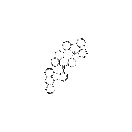 c1ccc(-c2ccccc2-n2c3ccccc3c3ccc(N(c4cccc5c4-c4cccc6cc7ccccc7c-5c46)c4cccc5ccccc45)cc32)cc1